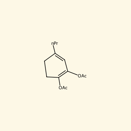 CCCC1=CC(OC(C)=O)=C(OC(C)=O)CC1